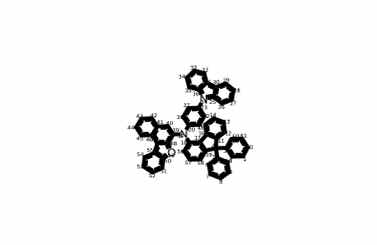 c1ccc(C2(c3ccccc3)c3ccccc3-c3c(N(c4ccc(-n5c6ccccc6c6ccccc65)cc4)c4cc5ccccc5c5c4oc4ccccc45)cccc32)cc1